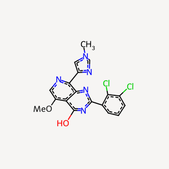 COc1cnc(-c2cn(C)cn2)c2nc(-c3cccc(Cl)c3Cl)nc(O)c12